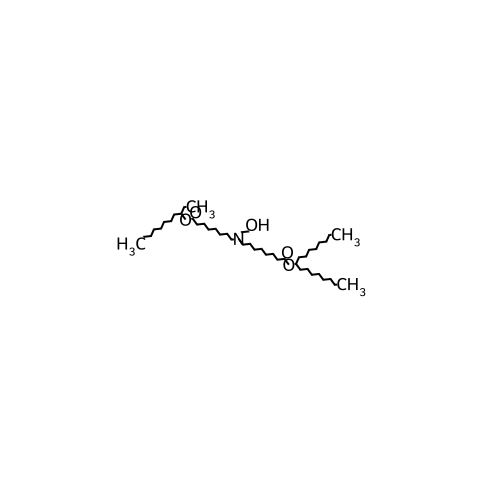 CCCCCCCCC(CC)OC(=O)CCCCCCCN(CCO)CCCCCCCC(=O)OC(CCCCCCCC)CCCCCCCC